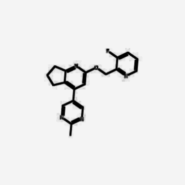 Cc1ncc(-c2cc(OCc3ncccc3F)nc3c2CCC3)cn1